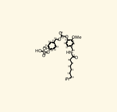 COc1cc(CNC(=O)CCCCCCC(C)C)ccc1OC(=O)OCc1ccc(OP(=O)(O)O)cc1